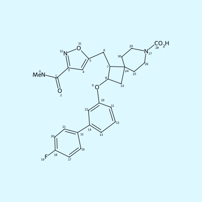 CNC(=O)c1cc(CC2C(Oc3cccc(-c4ccc(F)cc4)c3)CC23CCN(C(=O)O)CC3)on1